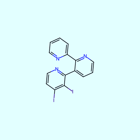 Ic1ccnc(-c2cccnc2-c2ccccn2)c1I